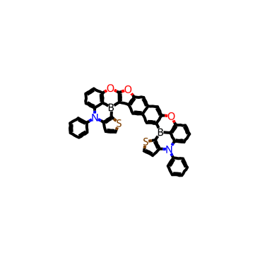 c1ccc(N2c3ccsc3B3c4cc5cc6c7c(oc6cc5cc4Oc4cccc2c43)Oc2cccc3c2B7c2sccc2N3c2ccccc2)cc1